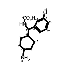 NC1CCC(C(NC(=O)O)c2cccc(Cl)c2)CC1